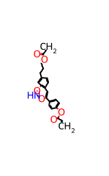 C=CC(=O)OCCCc1ccc2cc(-c3ccc(OC(=O)C=C)cc3)o[nH]oc2c1